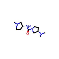 CN1CC[C@@H](NC(=O)N2CC[C@@H](N(C)C)C2)C1